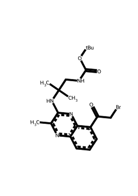 Cc1nc2cccc(C(=O)CBr)c2nc1NC(C)(C)CNC(=O)OC(C)(C)C